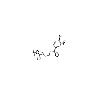 C[C@@H](CCC(=O)c1ccc(F)c(F)c1)NC(=O)OC(C)(C)C